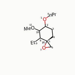 CCCOC1CC[C@]2(CO2)C(CC)C1OC